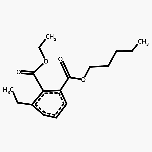 CCCCCOC(=O)c1cccc(CC)c1C(=O)OCC